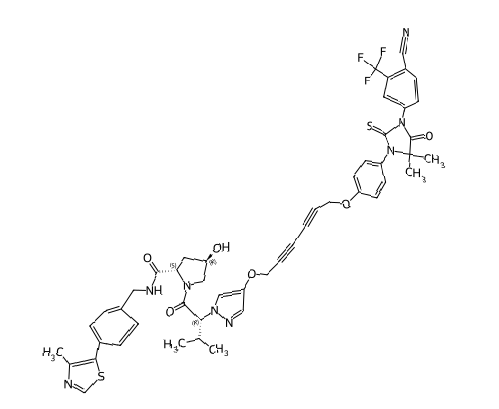 Cc1ncsc1-c1ccc(CNC(=O)[C@@H]2C[C@@H](O)CN2C(=O)[C@@H](C(C)C)n2cc(OCC#CC#CCOc3ccc(N4C(=S)N(c5ccc(C#N)c(C(F)(F)F)c5)C(=O)C4(C)C)cc3)cn2)cc1